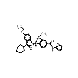 CCOc1ccc2c(c1)n(C1CCCCC1)c(=O)n2S(=O)(=O)c1ccc(C(=O)Nc2nccs2)cc1OC